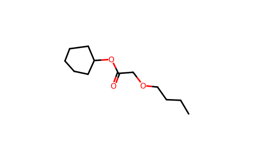 CCCCOCC(=O)OC1CCCCC1